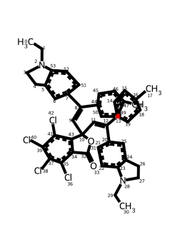 CCN1CCc2cc(C(=CC3(C=C(c4ccc(C)cc4)c4ccc5c(c4)CCN5CC)OC(=O)c4c(Cl)c(Cl)c(Cl)c(Cl)c43)c3ccc(C)cc3)ccc21